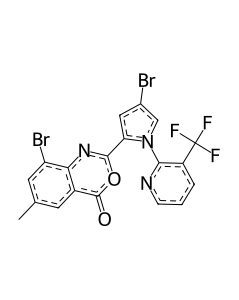 Cc1cc(Br)c2nc(-c3cc(Br)cn3-c3ncccc3C(F)(F)F)oc(=O)c2c1